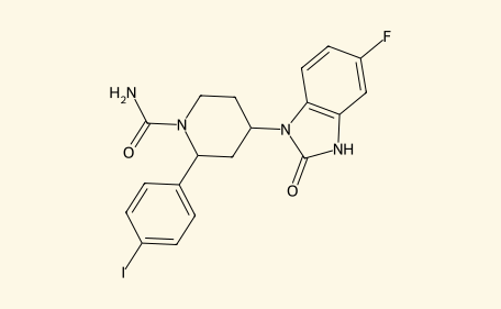 NC(=O)N1CCC(n2c(=O)[nH]c3cc(F)ccc32)CC1c1ccc(I)cc1